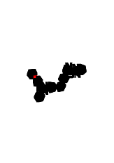 c1ccc(-c2ccc(-c3nc(-c4ccccc4)nc(-c4ccc(-c5cccc(-c6ccc(-c7ccnc8c7sc7nc9ccccc9nc78)cc6)c5)cc4)n3)cc2)cc1